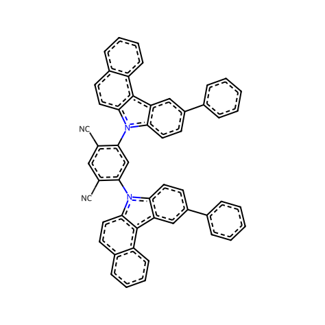 N#Cc1cc(C#N)c(-n2c3ccc(-c4ccccc4)cc3c3c4ccccc4ccc32)cc1-n1c2ccc(-c3ccccc3)cc2c2c3ccccc3ccc21